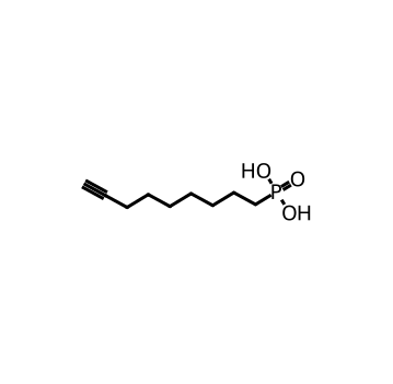 C#CCCCCCCCP(=O)(O)O